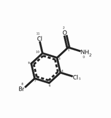 NC(=O)c1c(Cl)cc(Br)cc1Cl